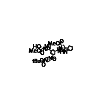 COC(=O)[C@H](CO)n1cc(-c2cc(C(=O)N3CCN(C(=O)OC(C)(C)C)CC3)cc(-c3cn([C@@H](Cc4c[nH]c5ccccc45)C(=O)OC)nn3)c2)nn1